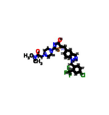 CN(C)C(=O)CN1CCN(C2=NC(=O)/C(=C/c3ccc4c(cnn4Cc4ccc(Cl)cc4C(F)(F)F)c3)S2)CC1